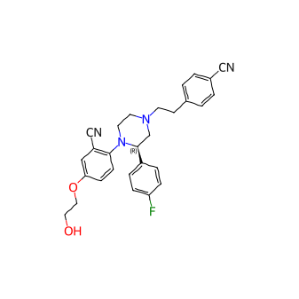 N#Cc1ccc(CCN2CCN(c3ccc(OCCO)cc3C#N)[C@H](c3ccc(F)cc3)C2)cc1